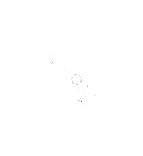 CCN(C)C(=O)CCCOc1ccc2c(c1)CN(C(C(N)=O)N1CCOCC1)C(N)=N2